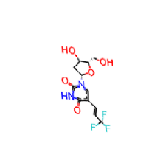 O=c1[nH]c(=O)n([C@@H]2CC(O)[C@H](CO)O2)cc1/C=C/C(F)(F)F